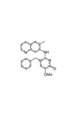 COc1cn(Cc2ccccc2)c(Nc2cc3ncccc3cc2C)nc1=O